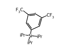 CC(C)[Si](c1cc(C(F)(F)F)[c]c(C(F)(F)F)c1)(C(C)C)C(C)C